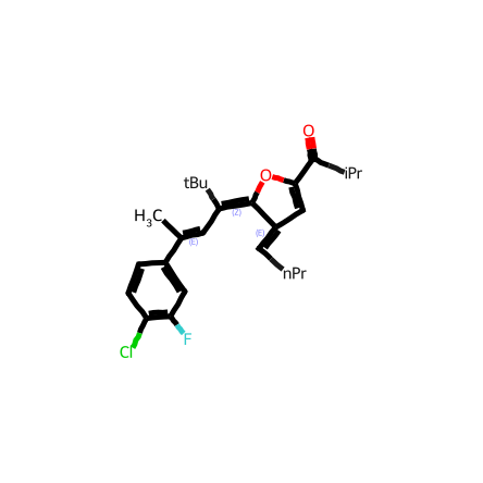 CCC\C=c1/cc(C(=O)C(C)C)o/c1=C(/C=C(\C)c1ccc(Cl)c(F)c1)C(C)(C)C